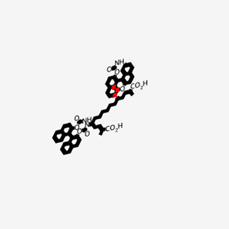 CC(=CCC(CCCCCCC(CC=C(C)C(=O)O)=NC(=O)Oc1ccc2ccccc2c1-c1c(OC(N)=O)ccc2ccccc12)=NC(=O)Oc1ccc2ccccc2c1-c1c(OC(N)=O)ccc2ccccc12)C(=O)O